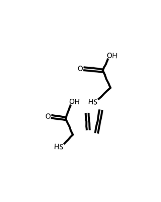 C=C.C=C.O=C(O)CS.O=C(O)CS